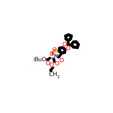 C=CCOC(=O)[C@H](CC(=O)OCC(C)C)N1C(=O)c2cc3c(cc2S1(=O)=O)OC(c1ccccc1)(c1ccccc1)O3